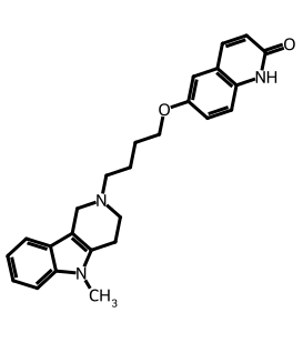 Cn1c2c(c3ccccc31)CN(CCCCOc1ccc3[nH]c(=O)ccc3c1)CC2